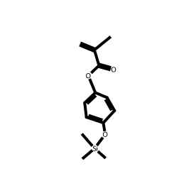 C=C(C)C(=O)Oc1ccc(O[Si](C)(C)C)cc1